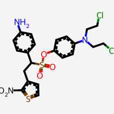 Nc1ccc(C(Cc2ccsc2[N+](=O)[O-])S(=O)(=O)Oc2ccc(N(CCCl)CCCl)cc2)cc1